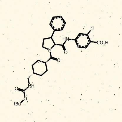 CC(C)(C)OC(=O)NC[C@H]1CC[C@H](C(=O)N2CCC(c3ccccc3)C2C(=O)Nc2ccc(C(=O)O)c(Cl)c2)CC1